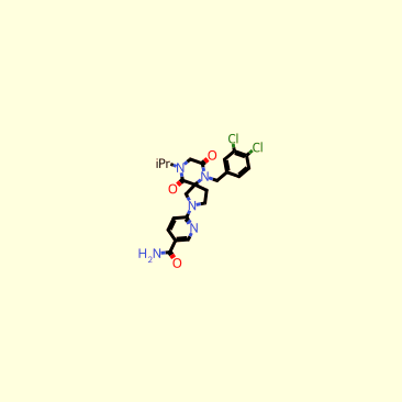 CC(C)N1CC(=O)N(Cc2ccc(Cl)c(Cl)c2)C2(CCN(c3ccc(C(N)=O)cn3)C2)C1=O